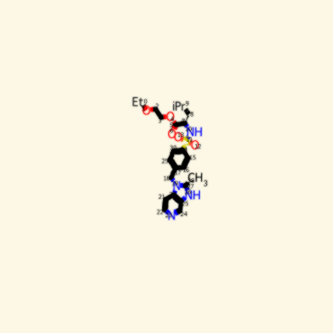 CCOCCOC(=O)[C@H](CC(C)C)NS(=O)(=O)c1ccc(CN2c3ccncc3NC2C)cc1